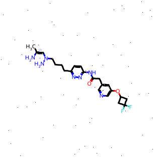 C/C(N)=C/N(N)CCCCc1ccc(NC(=O)Cc2cncc(OC3CC(F)(F)C3)c2)nn1